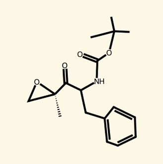 CC(C)(C)OC(=O)NC(Cc1ccccc1)C(=O)[C@@]1(C)CO1